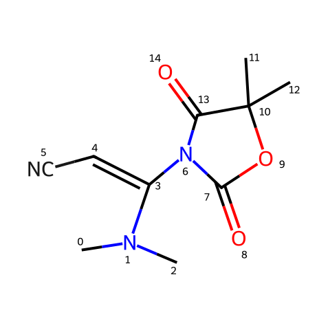 CN(C)C(=CC#N)N1C(=O)OC(C)(C)C1=O